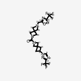 O=C(N1CC2(CC(n3cnc(C(F)(F)F)n3)C2)C1)N1CC2(CN(Cc3nc(C(F)(F)F)no3)C2)C1